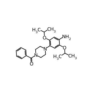 CC(C)Oc1cc(N2CCN(C(=O)c3ccccc3)CC2)c(OC(C)C)cc1N